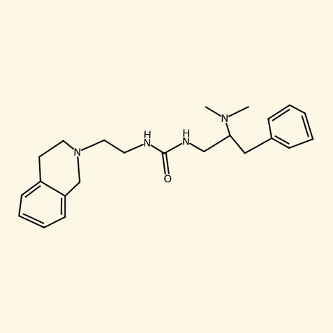 CN(C)C(CNC(=O)NCCN1CCc2ccccc2C1)Cc1ccccc1